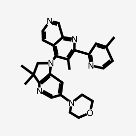 Cc1ccnc(-c2nc3cnccc3c(N3CC(C)(C)c4ncc(N5CCOCC5)cc43)c2C)c1